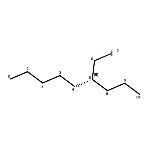 CCCCC[C@H](CI)CCC